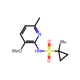 COc1ccc(C)nc1NS(=O)(=O)C1(C(C)(C)C)CC1